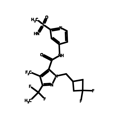 CC(F)(F)c1nn(CC2CC(F)(F)C2)c(C(=O)Nc2ccnc(S(C)(=N)=O)c2)c1C(F)(F)F